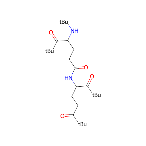 CC(C)(C)NC(CCC(=O)NC(CCC(=O)C(C)(C)C)C(=O)C(C)(C)C)C(=O)C(C)(C)C